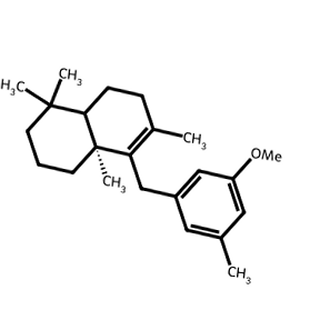 COc1cc(C)cc(CC2=C(C)CCC3C(C)(C)CCC[C@]23C)c1